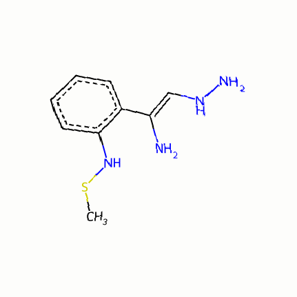 CSNc1ccccc1/C(N)=C/NN